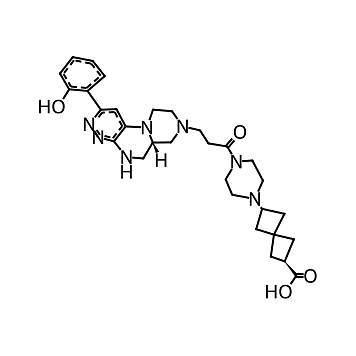 O=C(CCN1CCN2c3cc(-c4ccccc4O)nnc3NC[C@H]2C1)N1CCN([C@H]2CC3(C[C@H](C(=O)O)C3)C2)CC1